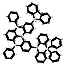 c1ccc(N2c3ccc(N4c5ccccc5S(c5ccccc5)(c5ccccc5)c5ccccc54)cc3B3c4ccc(-n5c6ccccc6c6ccccc65)cc4N(c4ccccc4)c4cccc2c43)cc1